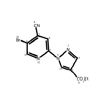 CCOC(=O)c1cnn(-c2cc(C#N)c(Br)cn2)c1